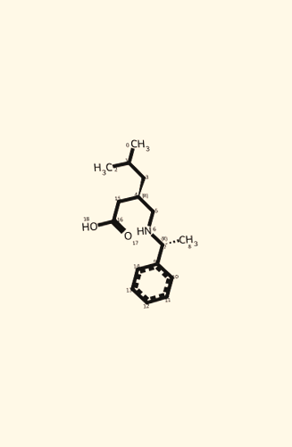 CC(C)C[C@@H](CN[C@H](C)c1ccccc1)CC(=O)O